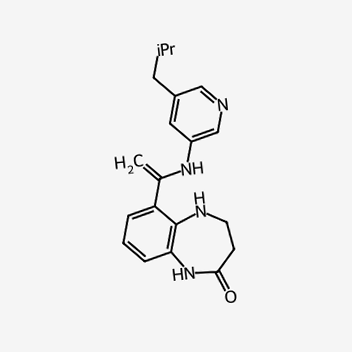 C=C(Nc1cncc(CC(C)C)c1)c1cccc2c1NCCC(=O)N2